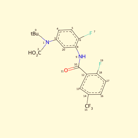 CC(C)(C)N(C(=O)O)c1ccc(F)c(NC(=O)c2cc(C(F)(F)F)ccc2F)c1